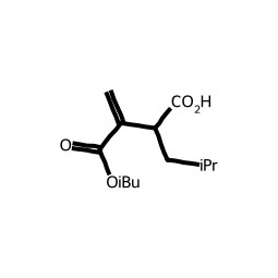 C=C(C(=O)OCC(C)C)C(CC(C)C)C(=O)O